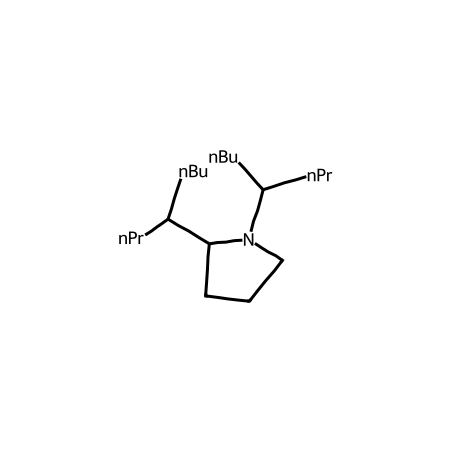 CCCCC(CCC)C1CCCN1C(CCC)CCCC